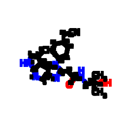 Cc1c[nH]c2ncc3nc(CC(=O)NCC(C)(C)O)n([C@H]4CC[C@H](CC#N)CC4)c3c12